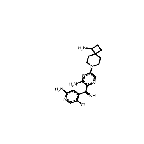 N=C(c1cc(N)ncc1Cl)c1ncc(N2CCC3(CCC3N)CC2)nc1N